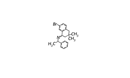 CC(/N=C1\CC(C)(C)Cc2ccc(Br)cc21)c1ccccc1